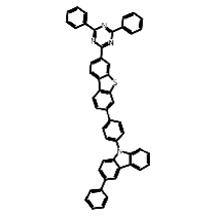 c1ccc(-c2ccc3c(c2)c2ccccc2n3-c2ccc(-c3ccc4c(c3)sc3cc(-c5nc(-c6ccccc6)nc(-c6ccccc6)n5)ccc34)cc2)cc1